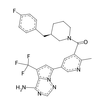 Cc1ncc(-c2cc(C(F)(F)F)c3c(N)ncnn23)cc1C(=O)N1CCC[C@H](Cc2ccc(F)cc2)C1